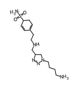 NCCCCN1CC(CNCCC2=CCC(S(N)(=O)=O)C=C2)N=N1